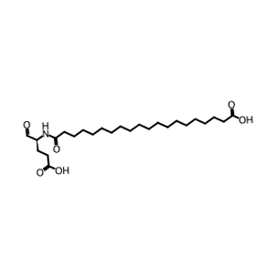 O=C[C@H](CCC(=O)O)NC(=O)CCCCCCCCCCCCCCCCCCC(=O)O